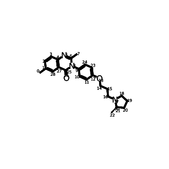 Cc1ccc2nc(C)n(-c3ccc(OCCCN4CCC[C@H]4C)cc3)c(=O)c2c1